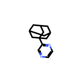 [c]1cncc(C23CC4CC(CC(C4)C2)C3)n1